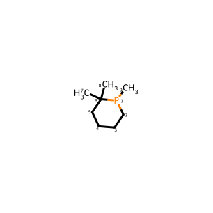 CP1CCCCC1(C)C